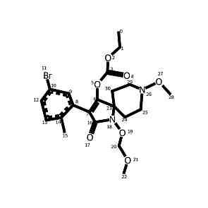 CCOC(=O)OC1=C(c2cc(Br)ccc2C)C(=O)N(OCOC)C12CCN(OC)CC2